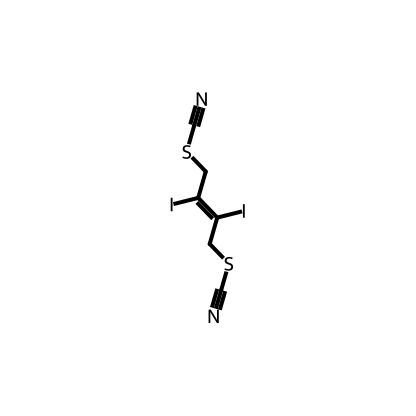 N#CSC/C(I)=C(\I)CSC#N